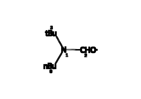 CCCCN([C]=O)C(C)(C)C